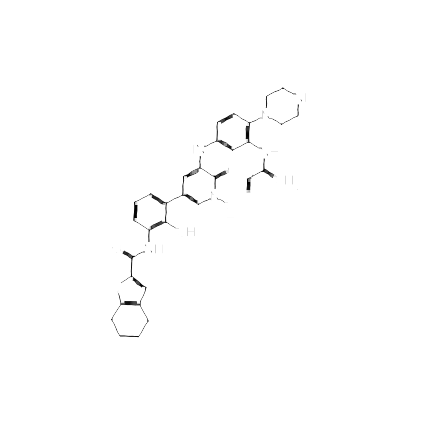 C=CC(=C)Nc1cc(NC2=CC(c3cccc(NC(=O)c4cc5c(s4)CCCC5)c3C)=CN(C)C2=C)ccc1N1CCNCC1